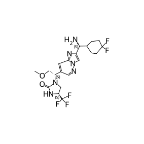 COC[C@H](c1cnn2cc([C@@H](N)C3CCC(F)(F)CC3)nc2c1)N1C[C@@H](C(F)(F)F)NC1=O